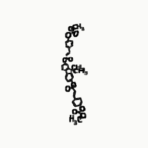 COC(=O)Oc1ccc(C=CC(=O)Oc2ccc3c(c2)C(C)(C)c2cc(OC(=O)C=Cc4ccc(OC(=O)OC)cc4)ccc2-3)cc1